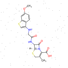 COc1ccc2c(NCC(=O)NC3C(=O)N4C(C(=O)O)=C(C)CS[C@@H]34)csc2c1